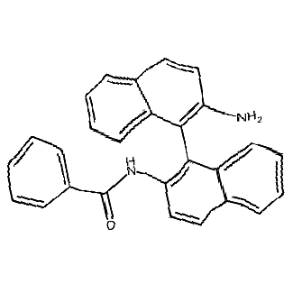 Nc1ccc2ccccc2c1-c1c(NC(=O)c2ccccc2)ccc2ccccc12